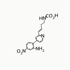 Nc1cc([N+](=O)[O-])ccc1-c1ccnc(C=CCCNC(=O)O)c1